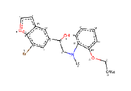 CCN(CC(O)c1cc(Br)c2occc2c1)c1ccccc1OCOC